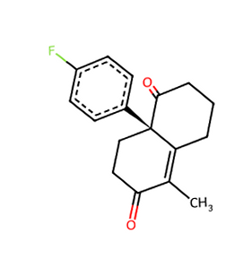 CC1=C2CCCC(=O)[C@@]2(c2ccc(F)cc2)CCC1=O